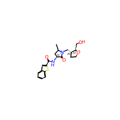 CC1C[C@H](NC(=O)c2cc3ccccc3s2)C(=O)N1C[C@H]1CCO[C@@H]1CO